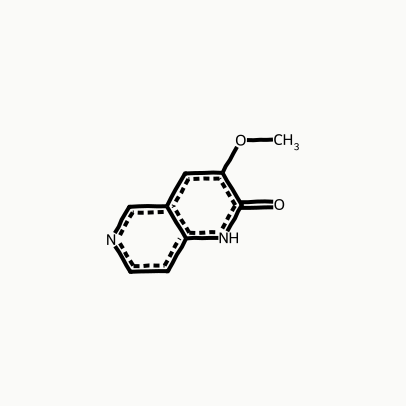 COc1cc2cnccc2[nH]c1=O